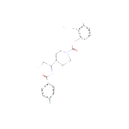 COc1c(F)cccc1OC(=O)N1CCC(C(CC(C)C)NC(=O)c2ccc(F)cc2)CC1